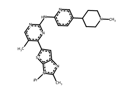 Cc1cnc(Nc2ccc(C3CCN(C)CC3)cn2)nc1-c1cc2nc(C)n(C(C)C)c2s1